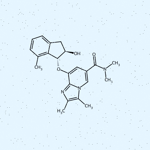 Cc1cccc2c1[C@@H](Oc1cc(C(=O)N(C)C)cn3c(C)c(C)nc13)[C@H](O)C2